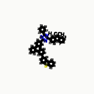 CC1(C)c2ccccc2-c2ccc(-c3nc(-c4ccccc4)nc(-c4ccc5c6ccccc6c6cc(-c7ccc8sc9ccccc9c8c7)ccc6c5c4)n3)cc21